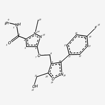 CC(C)NC(=O)c1cc(OCc2c(-c3ccc(F)cc3)noc2CO)nn1C